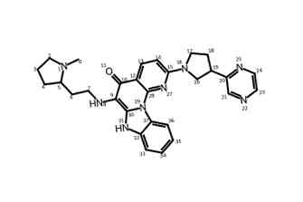 CN1CCCC1CCNc1c(=O)c2ccc(N3CCC(c4cnccn4)C3)nc2n2c1[nH]c1ccccc12